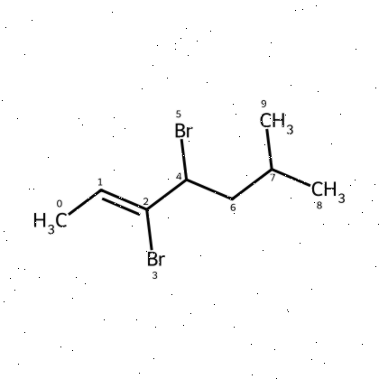 CC=C(Br)C(Br)CC(C)C